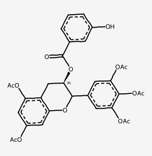 CC(=O)Oc1cc(OC(C)=O)c2c(c1)OC(c1cc(OC(C)=O)c(OC(C)=O)c(OC(C)=O)c1)[C@H](OC(=O)c1cccc(O)c1)C2